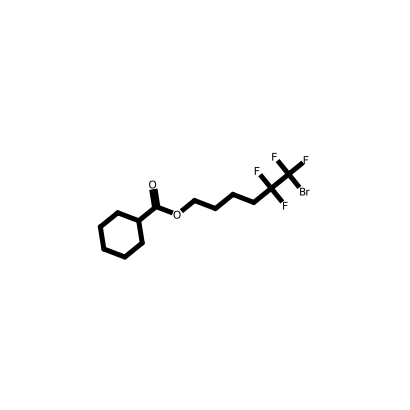 O=C(OCCCCC(F)(F)C(F)(F)Br)C1CCCCC1